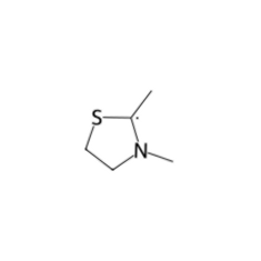 C[C]1SCCN1C